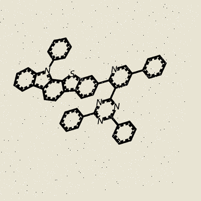 c1ccc(-c2cnc(-c3ccc4c(c3)sc3c4ccc4c5ccccc5n(-c5ccccc5)c43)c(-c3nc(-c4ccccc4)nc(-c4ccccc4)n3)c2)cc1